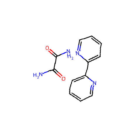 NC(=O)C(N)=O.c1ccc(-c2ccccn2)nc1